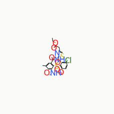 CCOC(=O)Cc1csc(NC(=O)c2cc(C)c3c(c2S(=O)(=O)c2cc(Cl)ccc2OC)NCO3)n1